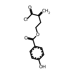 C=C(CCOC(=O)c1ccc(O)cc1)C(=O)Cl